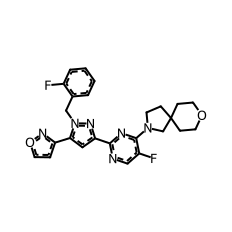 Fc1ccccc1Cn1nc(-c2ncc(F)c(N3CCC4(CCOCC4)C3)n2)cc1-c1ccon1